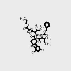 CCCOC(=O)c1noc(C(NC(=O)[C@@]2(NC(=O)C(NC(=O)OCc3ccccc3)C(C)CC)CCc3[nH]c4c(Cl)cc(Cl)cc4c3C2)[C@@H](C)CC)n1